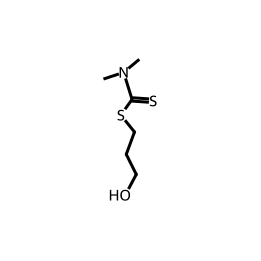 CN(C)C(=S)SCCCO